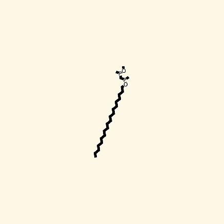 CCCCCCCCCCCCCCCCCCCCOP(C)CP(C)OC